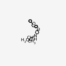 CC(C)(C)OCCCNC1CCC(Oc2ccc3c(c2)CCC(c2ccccc2)O3)CC1